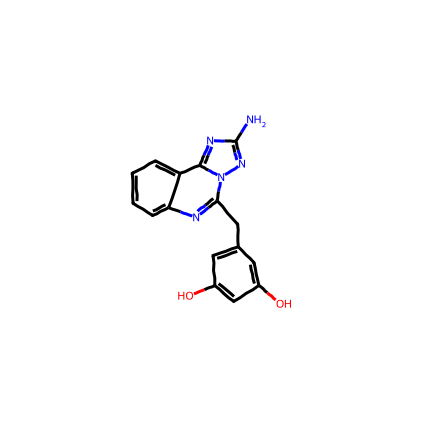 Nc1nc2c3ccccc3nc(Cc3cc(O)cc(O)c3)n2n1